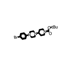 CC(C)(C)OC(=O)N1CCC(N2CCN(c3ccc(Br)cc3)CC2)CC1